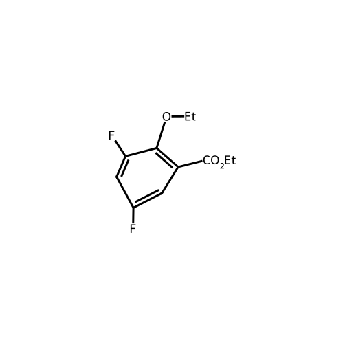 CCOC(=O)c1cc(F)cc(F)c1OCC